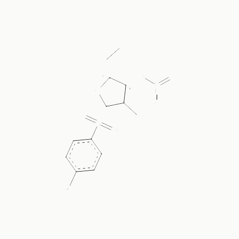 CC[C@H]1O[C@@H](S(=O)(=O)c2ccc(Br)cc2)C(C)[C@H]1O[PH](=O)O